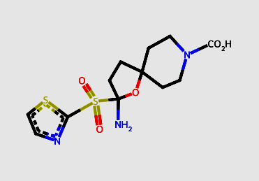 NC1(S(=O)(=O)c2nccs2)CCC2(CCN(C(=O)O)CC2)O1